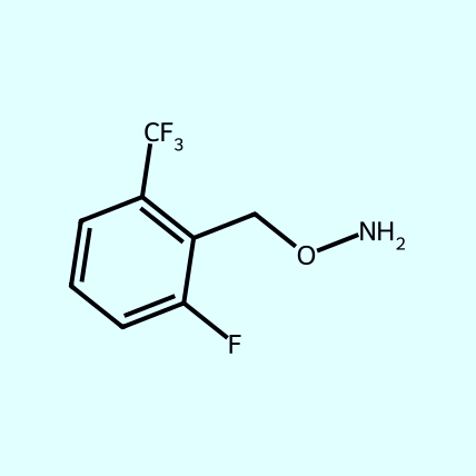 NOCc1c(F)cccc1C(F)(F)F